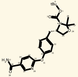 CC(C)(C)OC(=O)N1[C@@H](Cc2ccc(Oc3ccc(C(N)=O)cn3)cc2)COC1(C)C